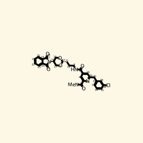 CNC(=O)c1cc(C(=O)NCCC[C@H]2OC[C@H](N3C(=O)c4ccccc4C3=O)CO2)cc(Cc2cccc(Cl)c2)n1